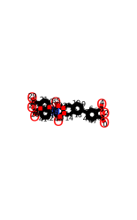 O=C1OC(=O)c2cc(-c3ccc4c(c3)C3c5ccc(-c6ccc7c(c6)C(=O)OC7=O)cc5C4C4C(=O)N(c5ccccc5)C(=O)C34)ccc21